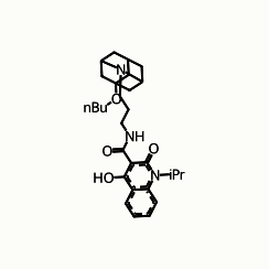 CCCCOC12CC3CC(C1)N(CCCNC(=O)c1c(O)c4ccccc4n(C(C)C)c1=O)C(C3)C2